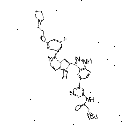 CC(C)(C)CC(=O)Nc1cncc(-c2ccc3[nH]nc(-c4cc5c(-c6cc(F)cc(OCCN7CCCC7)c6)nccc5[nH]4)c3c2)c1